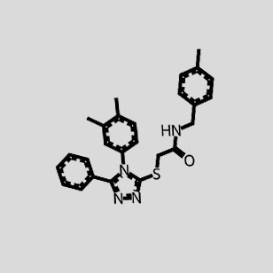 Cc1ccc(CNC(=O)CSc2nnc(-c3ccccc3)n2-c2ccc(C)c(C)c2)cc1